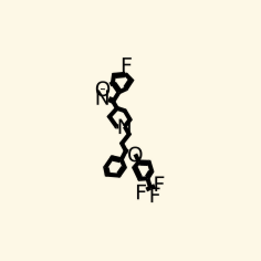 Fc1ccc2c(C3CCN(CCC(Oc4ccc(C(F)(F)F)cc4)c4ccccc4)CC3)noc2c1